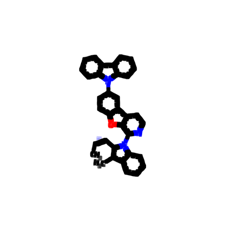 C/C=C\c1c(C)c2ccccc2n1-c1nccc2c1oc1ccc(-n3c4ccccc4c4ccccc43)cc12